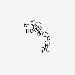 CC(C)(C)OC(=O)N1CCC(Oc2ccc(N(Cc3ccc4ccc(C#N)cc4c3)S(=O)(=O)CC(=O)O)cc2)CC1